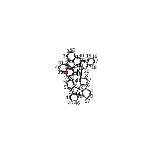 c1ccc(C2(c3cccc(N(c4ccc5ccccc5c4)c4ccccc4-c4cccc5cccc(C6CCCCC6)c45)c3)c3ccccc3-c3ccccc32)cc1